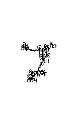 CCN(CC)CCCC[C@H](NC(=O)[C@@H](NC(=O)CCCC#Cc1cnc(S(C)(=O)=O)nc1)C(C)C)C(=O)NCC(=O)NCOC/C=C/c1c2c(nc3cc(F)c(C)cc13)-c1cc3c(c(=O)n1C2)COC(=O)[C@]3(O)CC